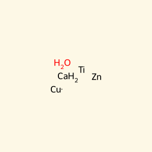 O.[CaH2].[Cu].[Ti].[Zn]